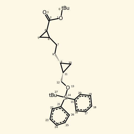 CC(C)(C)OC(=O)C1CC1CC[C@@H]1C[C@@H]1CO[Si](c1ccccc1)(c1ccccc1)C(C)(C)C